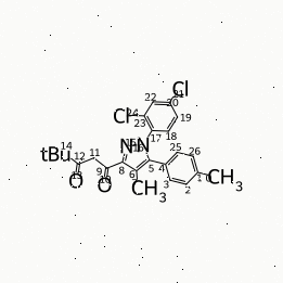 Cc1ccc(-c2c(C)c(C(=O)CC(=O)C(C)(C)C)nn2-c2ccc(Cl)cc2Cl)cc1